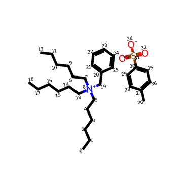 CCCCCC[N+](CCCCCC)(CCCCCC)Cc1ccccc1.Cc1ccc(S(=O)(=O)[O-])cc1